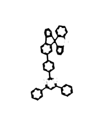 c1ccc(-c2cc(-c3ccccc3)nc(-c3ccc(-c4ccc5c(c4)C4(c6ccccc6Oc6ccccc64)c4ccccc4-5)cc3)n2)cc1